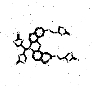 O=C1OCC(COc2ccc3ccc(OCC4COC(=O)O4)c(Cc4c(OCC5COC(=O)O5)ccc5ccc(OCC6COC(=O)O6)cc45)c3c2)O1